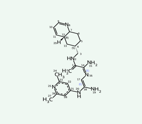 C=C(NC[C@H]1CCC2N=CC=C[C@H]2C1)/C(N)=N\C=C(/N)Nc1cc(C)nc(C)c1